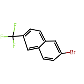 FC(F)(F)c1ccc2cc(Br)ccc2c1